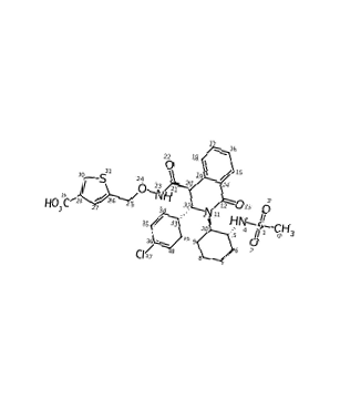 CS(=O)(=O)N[C@@H]1CCCC[C@H]1N1C(=O)c2ccccc2[C@H](C(=O)NOCc2cc(C(=O)O)cs2)[C@H]1C1C=CC(Cl)=CC1